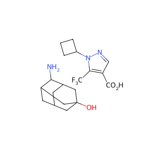 NC1C2CC3CC1CC(O)(C3)C2.O=C(O)c1cnn(C2CCC2)c1C(F)(F)F